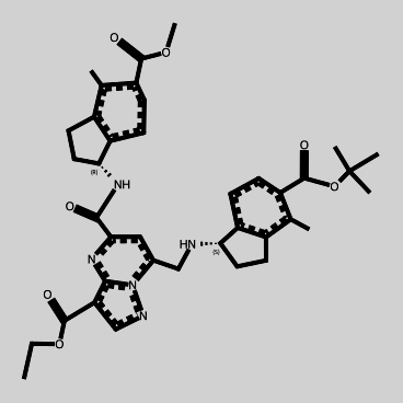 CCOC(=O)c1cnn2c(CN[C@H]3CCc4c3ccc(C(=O)OC(C)(C)C)c4C)cc(C(=O)N[C@@H]3CCc4c3ccc(C(=O)OC)c4C)nc12